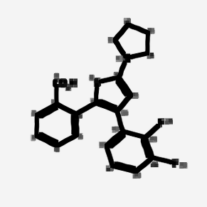 O=C(O)c1ccccc1-c1sc(N2CCCC2)cc1-c1cccc(F)c1F